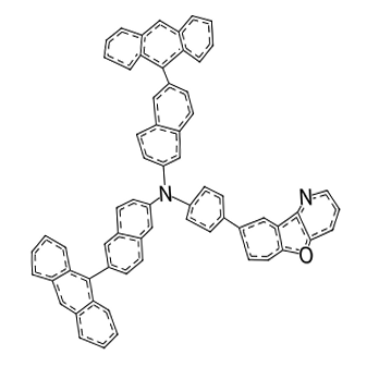 c1ccc2c(-c3ccc4cc(N(c5ccc(-c6ccc7oc8cccnc8c7c6)cc5)c5ccc6cc(-c7c8ccccc8cc8ccccc78)ccc6c5)ccc4c3)c3ccccc3cc2c1